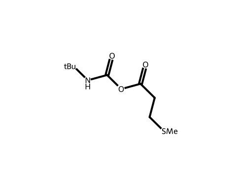 CSCCC(=O)OC(=O)NC(C)(C)C